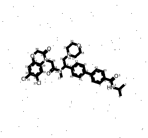 CC(C)NC(=O)c1ccc(-c2ccc(C(CN3CCOCC3)N(C)C(=O)CN3C(=O)COc4cc(Cl)c(Cl)cc43)cc2)cc1